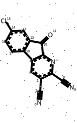 N#Cc1cc2c(nc1C#N)C(=O)c1cc(Cl)ccc1-2